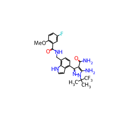 COc1ccc(F)cc1C(=O)NCc1ccc(-c2nn(C(C)(C)C(F)(F)F)c(N)c2C(N)=O)c2cc[nH]c12